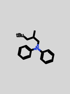 CC(CN(c1ccccc1)c1ccccc1)CC(C)(C)C